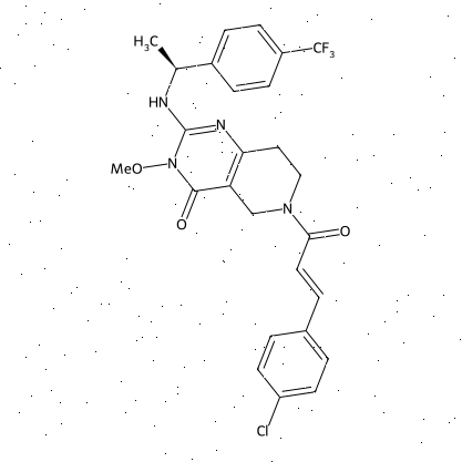 COn1c(N[C@@H](C)c2ccc(C(F)(F)F)cc2)nc2c(c1=O)CN(C(=O)C=Cc1ccc(Cl)cc1)CC2